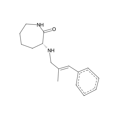 CC(=Cc1ccccc1)CN[C@@H]1CCCCNC1=O